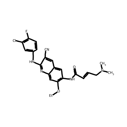 CCOc1cc2nc(Nc3ccc(F)c(Cl)c3)c(C#N)cc2cc1NC(=O)C=CCN(C)C